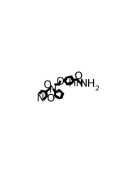 NNC(=O)c1ccc(OCCN2C(=O)c3ccncc3Oc3ccccc32)cc1